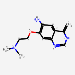 C=C1NC=Nc2cc(OCCN(C)C)c(N)cc21